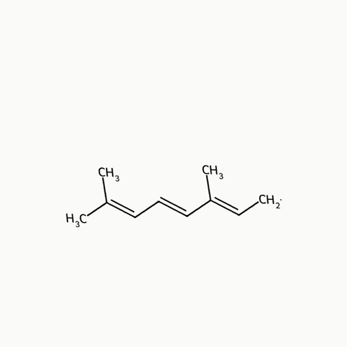 [CH2]/C=C(C)/C=C/C=C(C)C